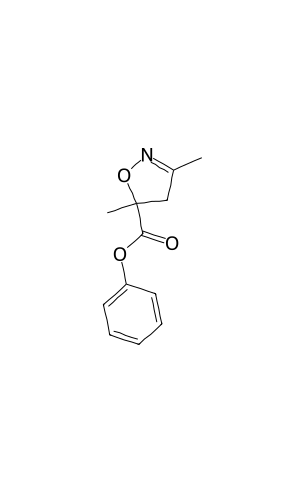 CC1=NOC(C)(C(=O)Oc2ccccc2)C1